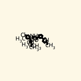 CCc1ccc(-c2cccc(C(=O)CC(=O)Nc3cc(Cl)c(C)cc3NC(=O)OC(C)(C)C)c2)cn1